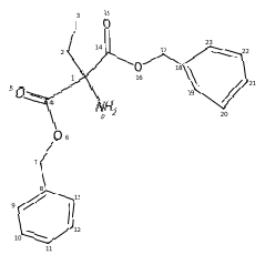 NC(CI)(C(=O)OCc1ccccc1)C(=O)OCc1ccccc1